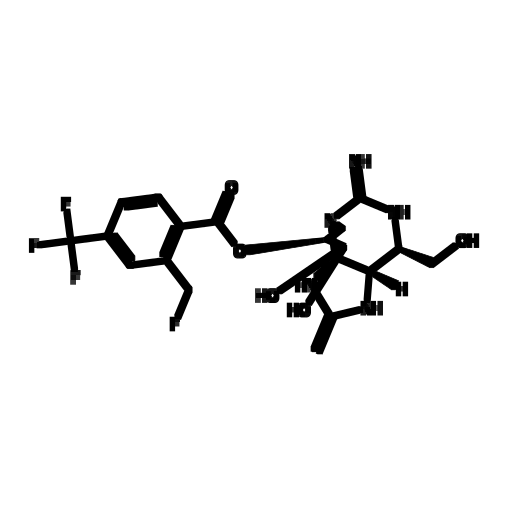 C=C1N[C@H]2[C@H](CO)NC(=N)N3C[C@H](OC(=O)c4ccc(C(F)(F)F)cc4CF)C(O)(O)[C@]23N1